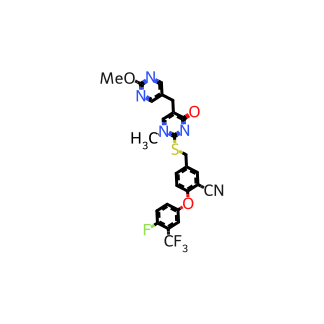 COc1ncc(Cc2cn(C)c(SCc3ccc(Oc4ccc(F)c(C(F)(F)F)c4)c(C#N)c3)nc2=O)cn1